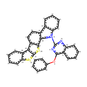 c1ccc(Oc2nc(-n3c4ccccc4c4ccc5c(sc6sc7ccccc7c65)c43)nc3ccccc23)cc1